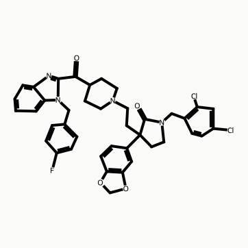 O=C(c1nc2ccccc2n1Cc1ccc(F)cc1)C1CCN(CCC2(c3ccc4c(c3)OCO4)CCN(Cc3ccc(Cl)cc3Cl)C2=O)CC1